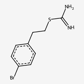 N=C(N)SCCc1ccc(Br)cc1